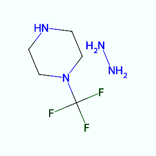 FC(F)(F)N1CCNCC1.NN